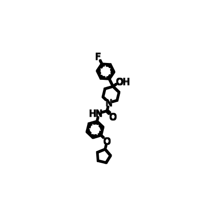 O=C(Nc1cccc(OC2CCCC2)c1)N1CCC(O)(c2ccc(F)cc2)CC1